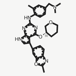 Cc1nc2ccc(-c3c[nH]c4nc(Nc5ccc(CN(C)C)cc5C)nc(O[C@H]5CCCOC5)c34)cc2o1